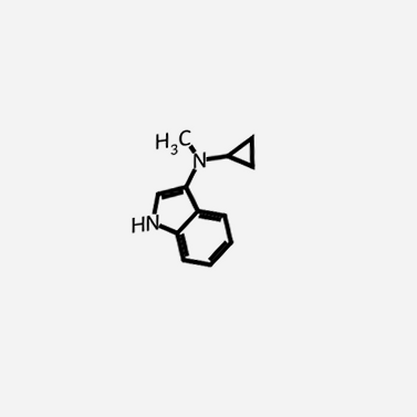 CN(c1c[nH]c2ccccc12)C1CC1